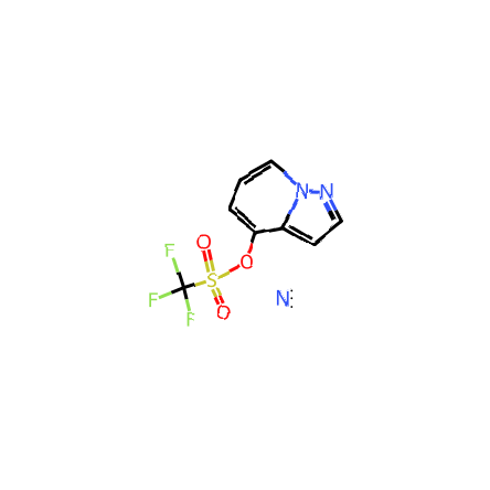 O=S(=O)(Oc1cccn2nccc12)C(F)(F)F.[N]